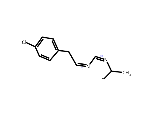 CC(F)/N=C\N=C/Cc1ccc(Cl)cc1